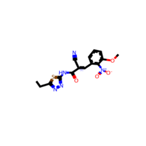 CCc1nnc(NC(=O)/C(C#N)=C/c2cccc(OC)c2[N+](=O)[O-])s1